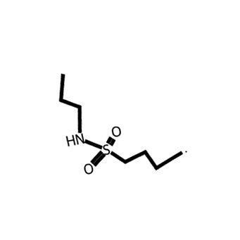 [CH2]CCCS(=O)(=O)NCCC